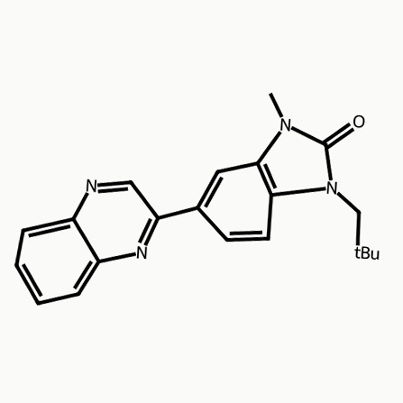 Cn1c(=O)n(CC(C)(C)C)c2ccc(-c3cnc4ccccc4n3)cc21